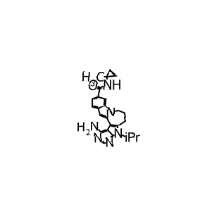 CC(C)n1c2c(c3c(N)ncnc31)-c1cc3ccc(C(=O)NC4(C)CC4)cc3n1CCC2